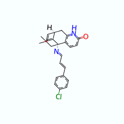 C/C=C1\[C@H]2C=C(C)C[C@]1(/N=C/C=C/c1ccc(Cl)cc1)c1ccc(=O)[nH]c1C2